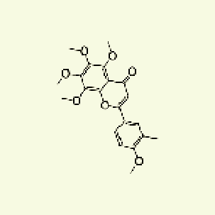 COc1ccc(-c2cc(=O)c3c(OC)c(OC)c(OC)c(OC)c3o2)cc1C